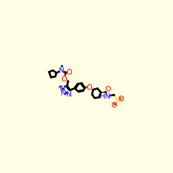 CN(C(=O)OCc1c(-c2ccc(O[C@H]3CCC[C@H](C(=O)NC[SH](=O)=O)C3)cc2)nnn1C)C1CCCC1